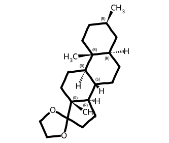 C[C@@H]1CC[C@]2(C)[C@H](CC[C@H]3[C@H]2CC[C@]2(C)[C@@H]3CCC23OCCO3)C1